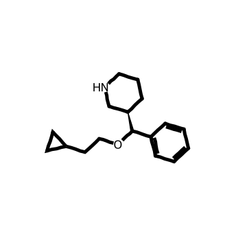 c1ccc(C(OCCC2CC2)[C@@H]2CCCNC2)cc1